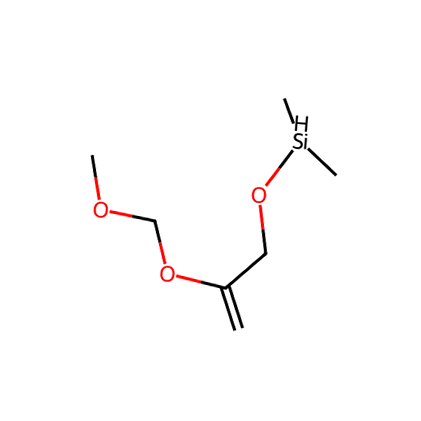 C=C(CO[SiH](C)C)OCOC